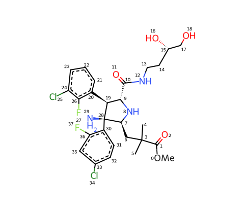 COC(=O)C(C)(C)C[C@@H]1N[C@@H](C(=O)NCC[C@H](O)CO)[C@H](c2cccc(Cl)c2F)[C@@]1(N)c1ccc(Cl)cc1F